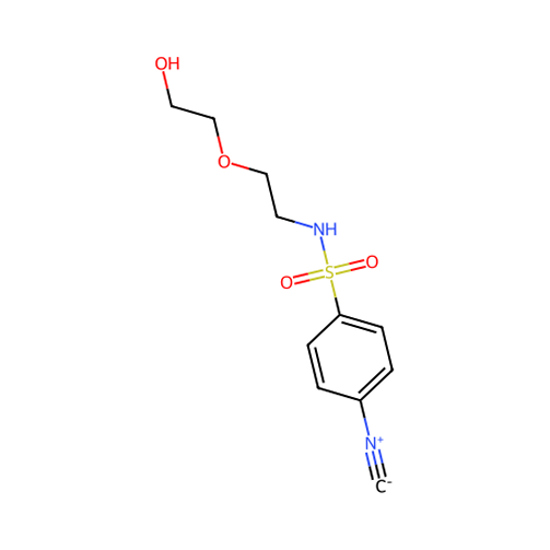 [C-]#[N+]c1ccc(S(=O)(=O)NCCOCCO)cc1